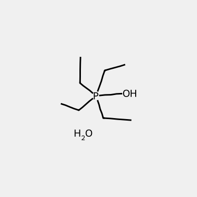 CCP(O)(CC)(CC)CC.O